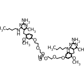 CCCCCNc1nc(N)nc(C)c1Cc1ccc(OCCOCCO[PH](=O)OCCOCCOc2ccc(Cc3c(C)nc(N)nc3NCCCCC)c(OC)c2)cc1OC